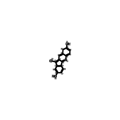 OC1=CC=c2nc3c(cc2C1)=C(Cl)c1cc(O)ccc1-3